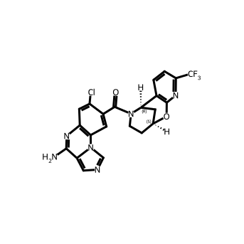 Nc1nc2cc(Cl)c(C(=O)N3CC[C@H]4C[C@@H]3c3ccc(C(F)(F)F)nc3O4)cc2n2cncc12